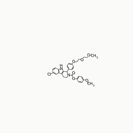 COCCOCCOc1ccc(C2c3[nH]c4ccc(Cl)cc4c3CCN2C(=O)Oc2ccc(OC)cc2)cc1